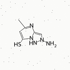 CC1=NC2=CN(N)NN2C(S)=C1